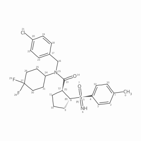 Cc1ccc([S@](=N)(=O)[C@@H]2CCC[C@H]2C(=O)N(Cc2ccc(Cl)cc2)C2CCC(F)(F)CC2)cc1